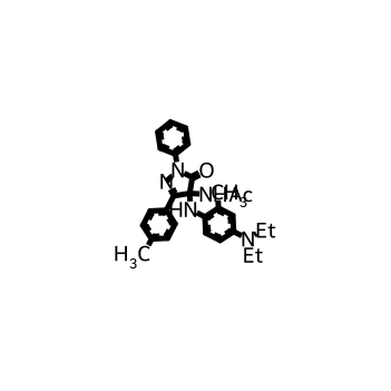 CCN(CC)c1ccc(NC2(NC(C)=O)C(=O)N(c3ccccc3)N=C2c2ccc(C)cc2)c(C)c1